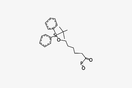 CC(C)(C)[Si](OCCCCCC(=O)P=O)(c1ccccc1)c1ccccc1